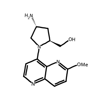 COc1ccc2nccc(N3C[C@H](N)C[C@H]3CO)c2n1